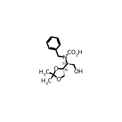 CC1(C)OC[C@@H]([C@H](CO)N(Cc2ccccc2)C(=O)O)O1